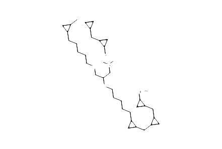 CCCCCC1CC1CC1CC1CC1CC1CCCCCOC(COCCCCCC1CC1C[C@@H]1CC1CC1CC1CCCCC)CN(C)C